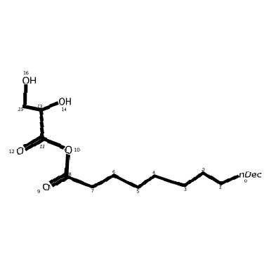 CCCCCCCCCCCCCCCCCC(=O)OC(=O)C(O)CO